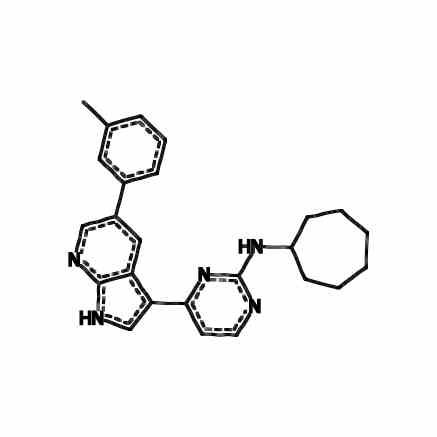 Cc1cccc(-c2cnc3[nH]cc(-c4ccnc(NC5CCCCCC5)n4)c3c2)c1